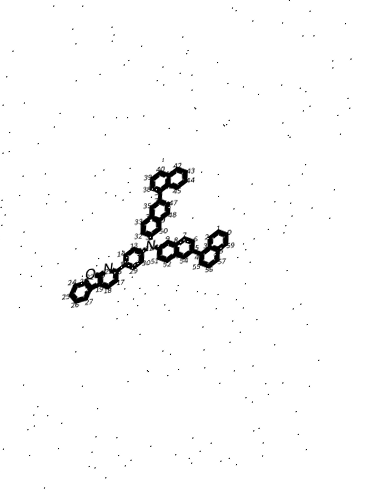 c1ccc2c(-c3ccc4cc(N(c5ccc(-c6ccc7c(n6)oc6ccccc67)cc5)c5ccc6cc(-c7cccc8ccccc78)ccc6c5)ccc4c3)cccc2c1